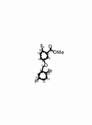 COC(=O)c1cc(OCc2cc(F)ccc2Br)ccc1F